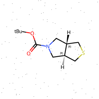 CC(C)(C)OC(=O)N1C[C@@H]2CSC[C@H]2C1